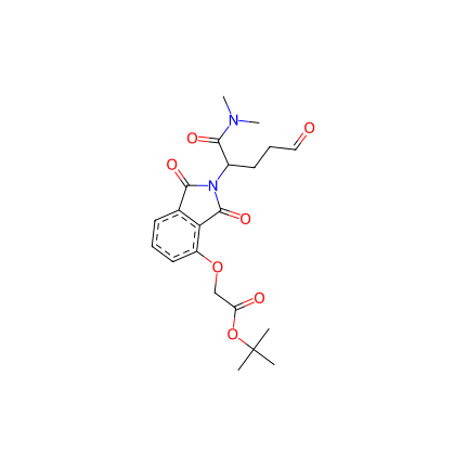 CN(C)C(=O)C(CCC=O)N1C(=O)c2cccc(OCC(=O)OC(C)(C)C)c2C1=O